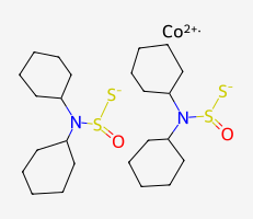 O=S([S-])N(C1CCCCC1)C1CCCCC1.O=S([S-])N(C1CCCCC1)C1CCCCC1.[Co+2]